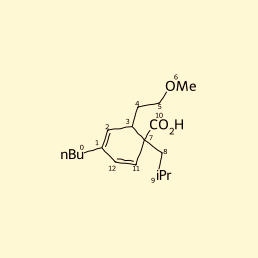 CCCCC1=CC(CCOC)C(CC(C)C)(C(=O)O)C=C1